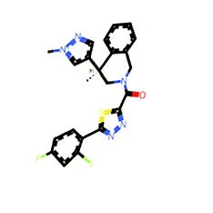 Cn1cc([C@]2(C)CN(C(=O)c3nnc(-c4ccc(F)cc4F)s3)Cc3ccccc32)cn1